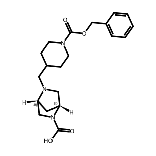 O=C(OCc1ccccc1)N1CCC(CN2C[C@H]3C[C@@H]2CN3C(=O)O)CC1